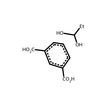 CCC(O)O.O=C(O)c1cccc(C(=O)O)c1